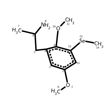 COc1cc(CC(C)N)c(OC)c([Se]C)c1